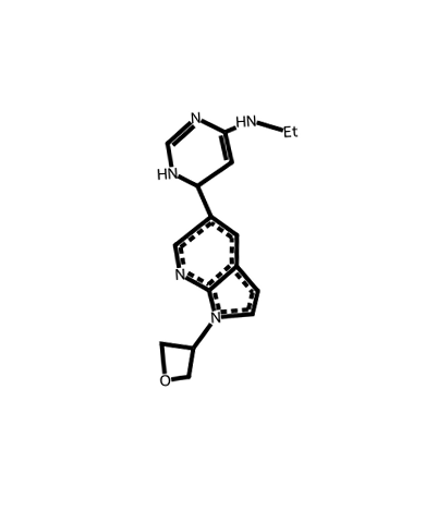 CCNC1=CC(c2cnc3c(ccn3C3COC3)c2)NC=N1